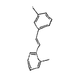 Cc1ccccc1/C=C/c1cccc(I)c1